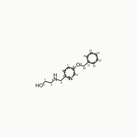 OCCNCc1ccc(OCc2ccccc2)cn1